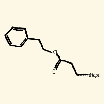 [CH2]CCCCCCCCC(=O)OCCc1ccccc1